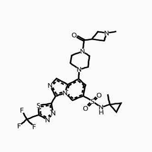 CN1CC(C(=O)N2CCN(c3cc(S(=O)(=O)NC4(C)CC4)cn4c(-c5nnc(C(F)(F)F)s5)ncc34)CC2)C1